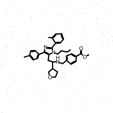 CCCCn1c(-c2ccccc2C)nc(-c2ccc(C)cc2)c1CC(NCc1ccc(C(=O)OC)cc1)C1CCOC1